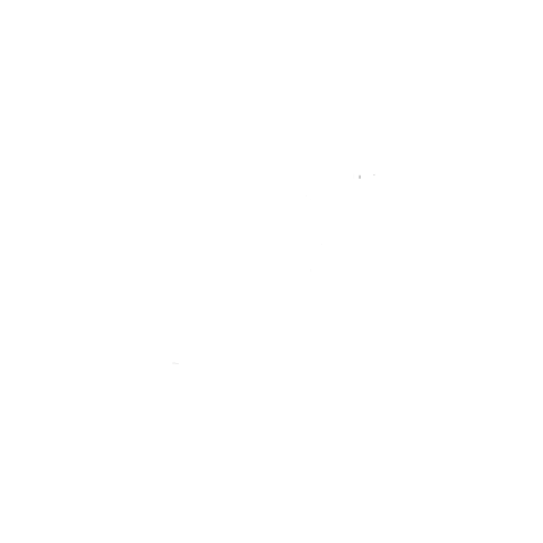 CCCCCCCCCCOc1ccc(-c2cc3sc(CCCCC)cc3s2)cc1